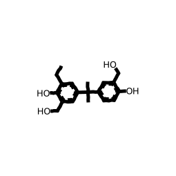 CCc1cc(C(C)(C)c2ccc(O)c(CO)c2)cc(CO)c1O